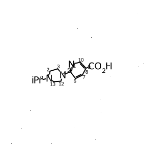 CC(C)N1CCN(c2ccc(C(=O)O)cn2)CC1